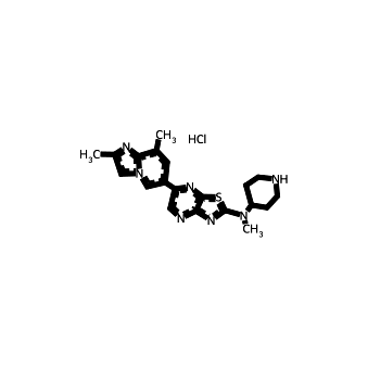 Cc1cn2cc(-c3cnc4nc(N(C)C5CCNCC5)sc4n3)cc(C)c2n1.Cl